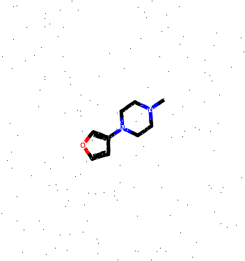 CN1CCN(c2c[c]oc2)CC1